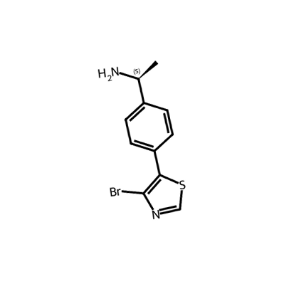 C[C@H](N)c1ccc(-c2scnc2Br)cc1